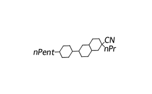 CCCCCC1CCC(C2CCC3CC(C#N)(CCC)CCC3C2)CC1